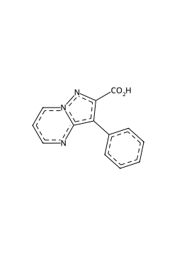 O=C(O)c1nn2cccnc2c1-c1ccccc1